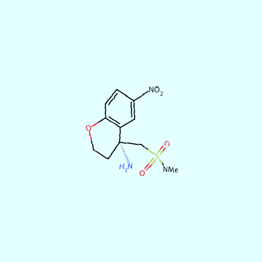 CNS(=O)(=O)C[C@@]1(N)CCOc2ccc([N+](=O)[O-])cc21